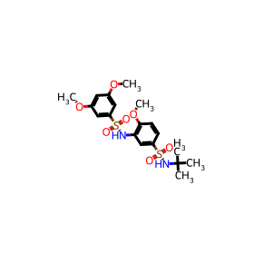 COc1cc(OC)cc(S(=O)(=O)Nc2cc(S(=O)(=O)NC(C)(C)C)ccc2OC)c1